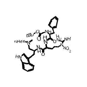 CCCCCCN(C)CC(Cc1c[nH]c2ccccc12)NC(=O)C(CCCN(C(=N)N)[N+](=O)[O-])NC(=O)C(Cc1ccccc1)NC(=O)OC(C)(C)C